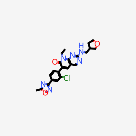 CCn1c(=O)c(-c2ccc(-c3noc(C)n3)cc2Cl)cc2cnc(NCC3CCOC3)nc21